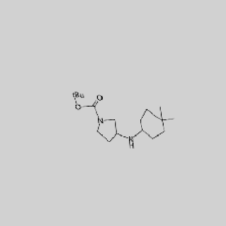 CC1(C)CCC(NC2CCN(C(=O)OC(C)(C)C)C2)CC1